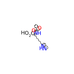 O=C(O)[C@H](CCCCCCCc1ccc2c(n1)NCCC2)NC(=O)[C@@H]1CCOc2ccccc21